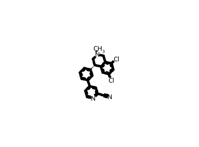 CN1Cc2c(Cl)cc(Cl)cc2[C@H](c2cccc(-c3ccnc(C#N)c3)c2)C1